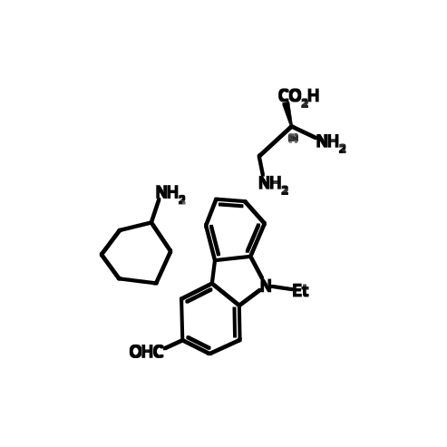 CCn1c2ccccc2c2cc(C=O)ccc21.NC1CCCCC1.NC[C@H](N)C(=O)O